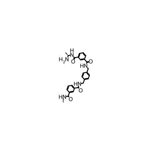 C[C@H](N)NC(=O)c1cccc(C(=O)NCc2ccc(CNC(=O)c3cccc(C(=O)NI)c3)cc2)c1